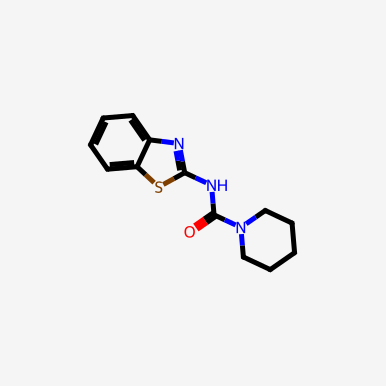 O=C(Nc1nc2ccccc2s1)N1CCCCC1